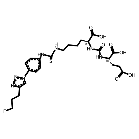 O=C(O)CC[C@H](NC(=O)N[C@@H](CCCCNC(=S)Nc1ccc(-n2cc(CCCF)nn2)cc1)C(=O)O)C(=O)O